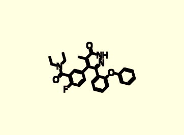 CCN(CC)C(=O)c1cc(-c2c(-c3ccccc3Oc3ccccc3)n[nH]c(=O)c2C)ccc1F